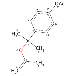 C=C(C)OC(C)(C)c1ccc(OC(C)=O)cc1